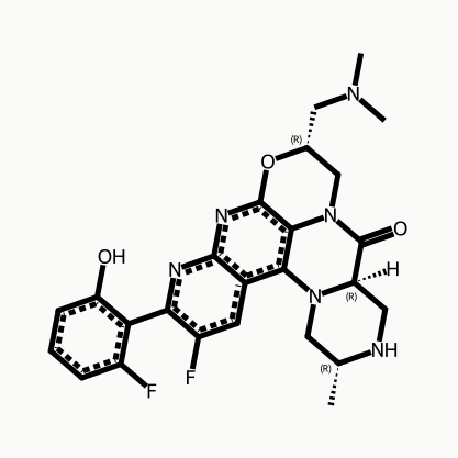 C[C@@H]1CN2c3c4c(nc5nc(-c6c(O)cccc6F)c(F)cc35)O[C@H](CN(C)C)CN4C(=O)[C@H]2CN1